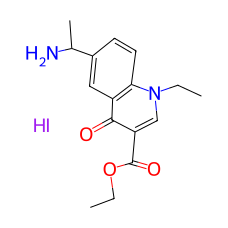 CCOC(=O)c1cn(CC)c2ccc(C(C)N)cc2c1=O.I